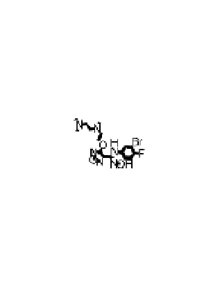 CN(C)CCN(C)CCOc1nonc1/C(=N/O)Nc1ccc(F)c(Br)c1